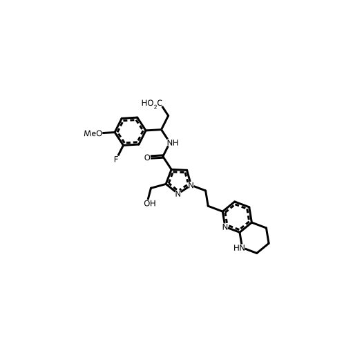 COc1ccc(C(CC(=O)O)NC(=O)c2cn(CCc3ccc4c(n3)NCCC4)nc2CO)cc1F